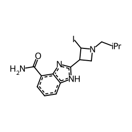 CC(C)CN1CC(c2nc3c(C(N)=O)cccc3[nH]2)C1I